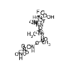 C#Cc1c(F)ccc2cc(O)cc(-c3ncc4c(N5CC6CCC(C5)N6)nc(OC[C@@]56CC[C@@H](COC(=O)N(C)CCOCCNc7ccc8c(c7)C(=O)N(C7CCC(=O)NC7=O)C8=O)N5CC(=C)C6)nc4c3F)c12